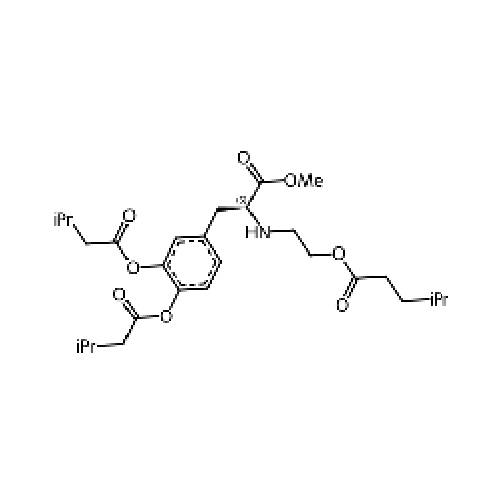 COC(=O)[C@H](Cc1ccc(OC(=O)CC(C)C)c(OC(=O)CC(C)C)c1)NCCOC(=O)CCC(C)C